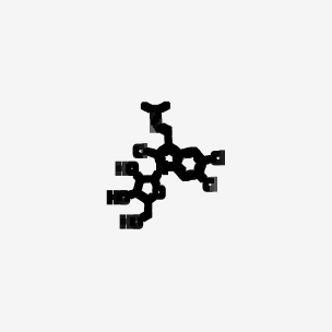 CN(C)N=Cc1c(Cl)n(C2OC(CO)C(O)C2O)c2cc(Cl)c(Cl)cc12